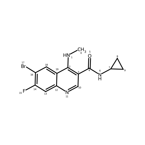 CNc1c(C(=O)NC2CC2)cnc2cc(F)c(Br)cc12